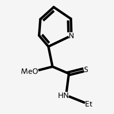 CCNC(=S)C(OC)c1ccccn1